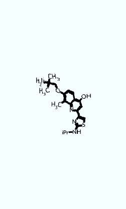 Cc1c(OCC(C)(C)N)ccc2c(O)cc(-c3csc(NC(C)C)n3)nc12